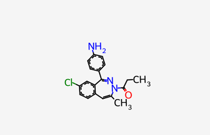 CCC(=O)N1N=C(c2ccc(N)cc2)c2cc(Cl)ccc2C=C1C